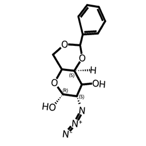 [N-]=[N+]=N[C@H]1C(O)[C@@H]2OC(c3ccccc3)OCC2O[C@H]1O